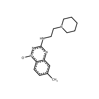 Cc1ccc2c(c1)nc(NCCN1CCCCC1)n[n+]2[O-]